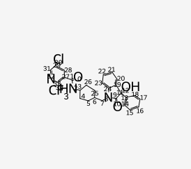 O=C(NC1CCC(CN2C(=O)C(O)(c3ccccc3)c3ccccc32)CC1)c1cc(Cl)cnc1C(F)(F)F